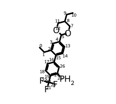 CCC1=CC(C2OCC(CC)CO2)=C=C=C1c1ccc(C(F)(F)F)c(P)c1